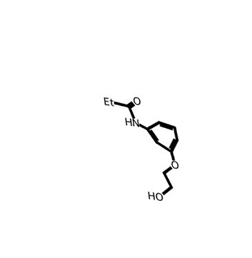 CCC(=O)Nc1cccc(OCCO)c1